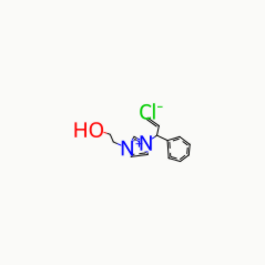 C=CC(c1ccccc1)n1cc[n+](CCO)c1.[Cl-]